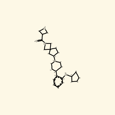 O=C(C1COC1)N1CC2(CCC(N3CCC(c4ccccc4OC4CCCC4)CC3)C2)C1